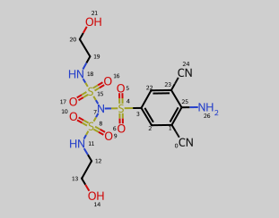 N#Cc1cc(S(=O)(=O)N(S(=O)(=O)NCCO)S(=O)(=O)NCCO)cc(C#N)c1N